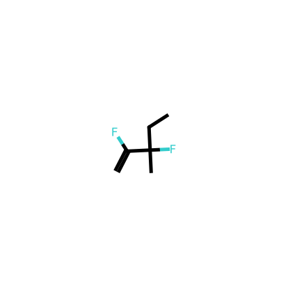 C=C(F)C(C)(F)CC